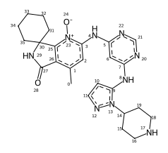 Cc1cc(Nc2cc(Nc3ccnn3C3CCNCC3)ncn2)[n+]([O-])c2c1C(=O)NC21CCCCC1